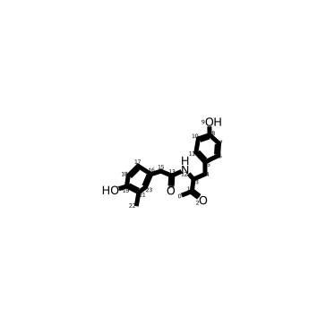 CC(=O)C(Cc1ccc(O)cc1)NC(=O)Cc1ccc(O)c(C)c1